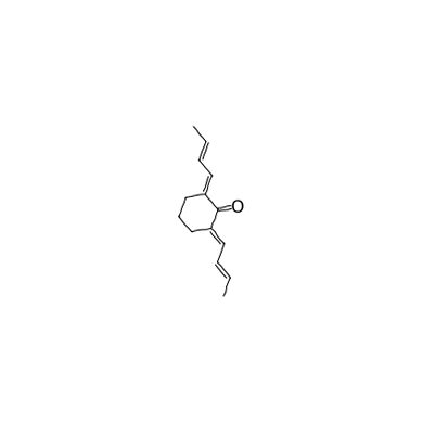 C/C=C/C=C1\CCC/C(=C\C=C\C)C1=O